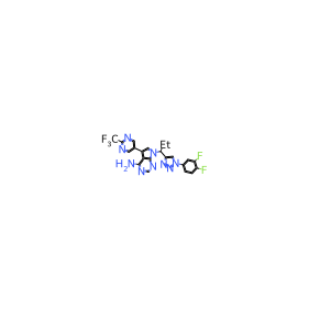 CC[C@@H](c1cn(-c2ccc(F)c(F)c2)nn1)n1cc(-c2cnc(C(F)(F)F)nc2)c2c(N)ncnc21